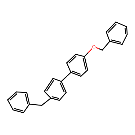 c1ccc(COc2ccc(-c3ccc(Cc4ccccc4)cc3)cc2)cc1